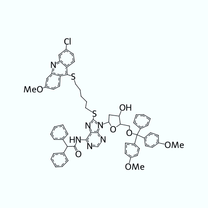 COc1ccc(C(OCC2OC(n3c(SCCCCCSc4c5ccc(Cl)cc5nc5cc(OC)ccc45)nc4c(NC(=O)C(c5ccccc5)c5ccccc5)ncnc43)CC2O)(c2ccccc2)c2ccc(OC)cc2)cc1